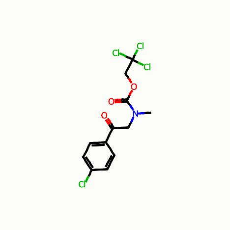 CN(CC(=O)c1ccc(Cl)cc1)C(=O)OCC(Cl)(Cl)Cl